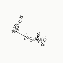 CCc1c(F)ccc2cc(O)cc(-c3ncc4c(N5CC6CCC(C5)N6)nc(OCC56CCCN5C(COC(=O)NCCCCCCCC(=O)NC(C(=O)N5CCC[C@H]5C(=O)NCc5ccc(C7=C(C)N=CC7)cc5)C(C)(C)C)CC6)nc4c3F)c12